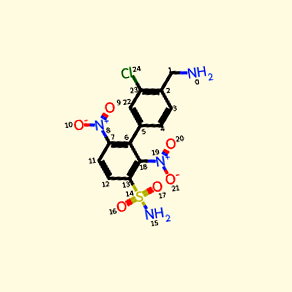 NCc1ccc(-c2c([N+](=O)[O-])ccc(S(N)(=O)=O)c2[N+](=O)[O-])cc1Cl